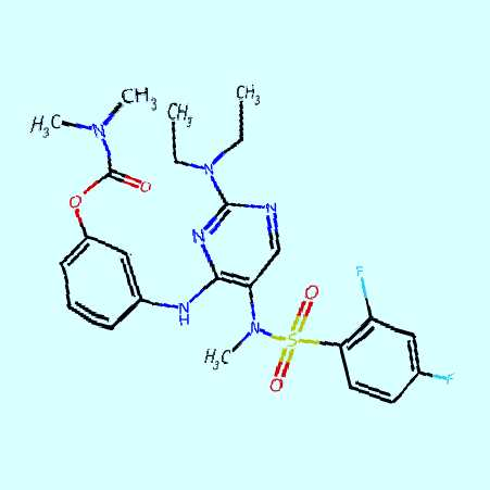 CCN(CC)c1ncc(N(C)S(=O)(=O)c2ccc(F)cc2F)c(Nc2[c]c(OC(=O)N(C)C)ccc2)n1